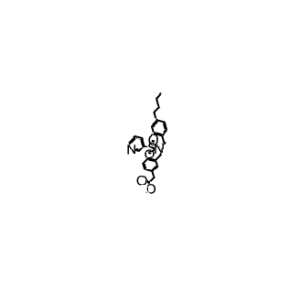 CCCCc1ccc(CN(Cc2cccc(CC(=O)OC)c2)S(=O)(=O)c2cccnc2)cc1